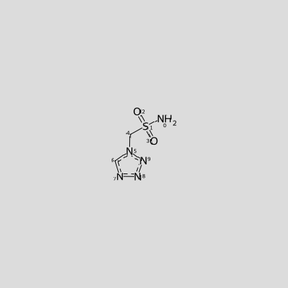 NS(=O)(=O)Cn1[c]nnn1